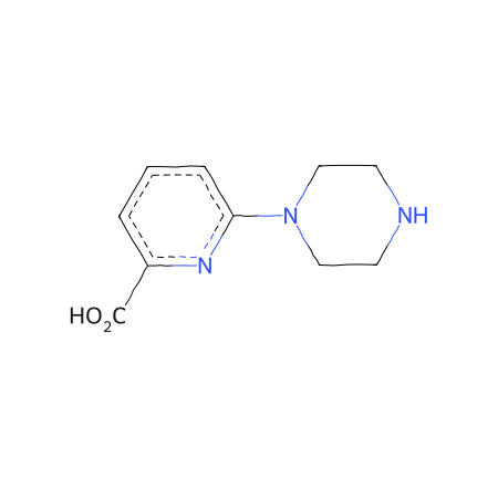 O=C(O)c1cccc(N2CCNCC2)n1